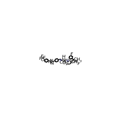 C/C(=C\c1ccc(-c2ncn(-c3ccc(OC(F)(F)F)cc3)n2)cc1)NC(=O)/N=C1\SCCC(C)N1c1ccc(F)cc1C(C)C